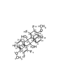 COc1c(F)c(F)c(C(O)(c2ccccc2)C(O)(c2ccccc2)c2c(F)c(F)c(OC)c(F)c2F)c(F)c1F